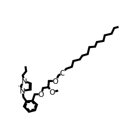 CCCCCCCCCCCCCCCCOCC(COCc1ccccc1CN1[CH]N(CCC)C=C1)OC